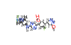 COc1cc(-c2cc(O)c(-c3cnc(N(C)[C@@H]4C[C@H]5CC(F)(F)[C@@H](C4)N5)cn3)cc2F)cnn1